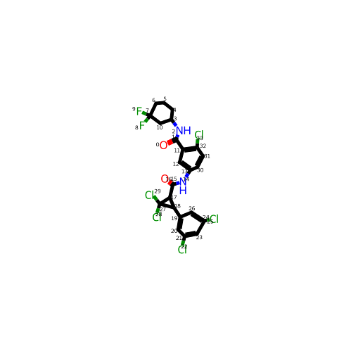 O=C(NC1CCCC(F)(F)C1)c1cc(NC(=O)C2C(c3cc(Cl)cc(Cl)c3)C2(Cl)Cl)ccc1Cl